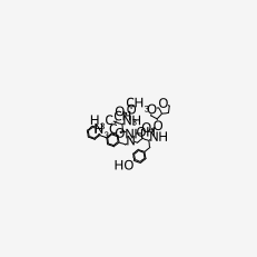 COC(=O)NC(C(=O)NN(Cc1ccc(-c2ccccn2)cc1)CC(O)C(Cc1ccc(O)cc1)NC(=O)OC1COC2OCCC12)C(C)(C)C